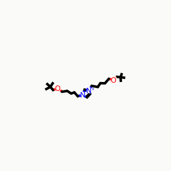 CC(C)(C)COCCCCCn1cc[n+](CCCCCOCC(C)(C)C)c1